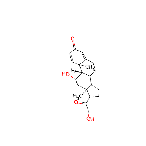 CC12CC(O)[C@H]3C(CCC4=CC(=O)C=CC43C)C1CCC2C(=O)CO